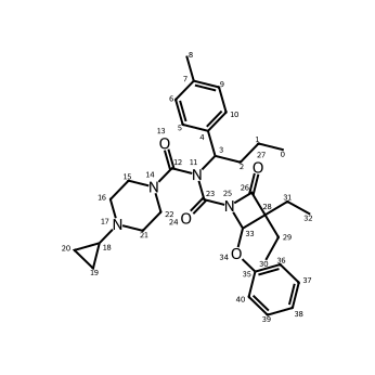 CCCC(c1ccc(C)cc1)N(C(=O)N1CCN(C2CC2)CC1)C(=O)N1C(=O)C(CC)(CC)C1Oc1ccccc1